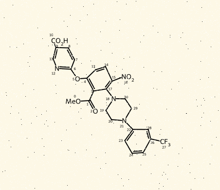 COC(=O)c1c(Oc2ccc(C(=O)O)cn2)ccc([N+](=O)[O-])c1N1CCN(c2cccc(C(F)(F)F)c2)CC1